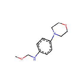 COCNc1ccc(N2CCOCC2)cc1